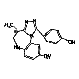 C[C@H]1CNc2ccc(O)cc2-n2c(-c3ccc(O)cc3)nnc21